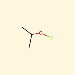 C[C](C)OF